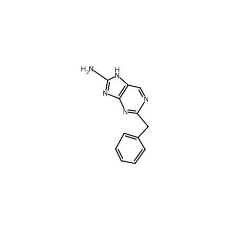 Nc1nc2nc(Cc3ccccc3)ncc2[nH]1